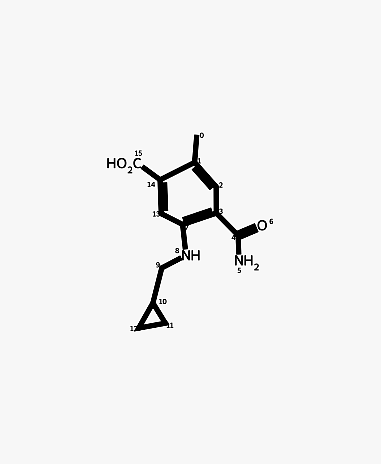 Cc1cc(C(N)=O)c(NCC2CC2)cc1C(=O)O